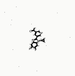 CC(=O)c1cncc(-c2nc3cc(F)c(F)cc3n2C2CC2)c1